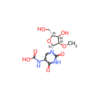 CO[C@@H]1[C@H](O)[C@@H](CO)O[C@H]1n1cc(NC(=O)O)c(=O)[nH]c1=O